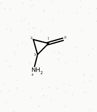 C=C1CC1N